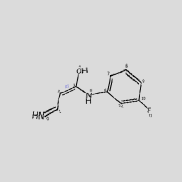 N=C/C=C(/O)Nc1cccc(F)c1